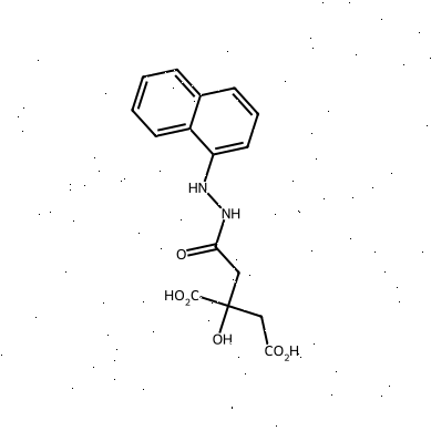 O=C(O)CC(O)(CC(=O)NNc1cccc2ccccc12)C(=O)O